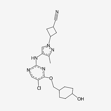 Cc1nn(C2CC(C#N)C2)cc1Nc1ncc(Cl)c(OCC2CCC(O)CC2)n1